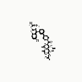 CC(=O)OC[C@@H](O)[C@@H](OC(C)=O)[C@H](OC(C)=O)[C@@H](OC(C)=O)C(=O)N1CCN(c2cccc(-c3nc(N=C(N)N)nc4ccc(Cl)cc34)c2)CC1